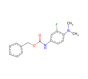 CN(C)c1ccc(NC(=O)OCc2ccccc2)cc1F